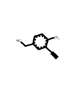 C#Cc1cc(CC#N)ccc1C(F)(F)F